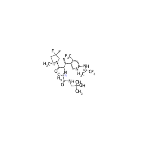 C/C(=N\C(C(=O)N1CC(F)(F)C[C@@H]1C)C(=S)c1cnc(N[C@@H](C)C(F)(F)F)cc1C(F)(F)F)C(=O)NCC(C)(C)O